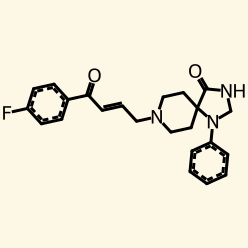 O=C(C=CCN1CCC2(CC1)C(=O)NCN2c1ccccc1)c1ccc(F)cc1